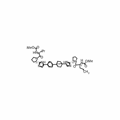 C=CC[C@H](NC(=O)OC)C(=O)N1CCC[C@H]1c1ncc(C23CCC(c4ccc(-c5cnc([C@@H]6CCCN6C(=O)[C@@H](NC(=O)OC)C(C)C)[nH]5)cc4)(CC2)CC3)[nH]1